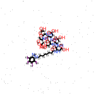 CC(=O)[C@H](CC(=O)O)NC(=O)[C@H](CC(=O)O)NC(=O)[C@H](CC(=O)O)NC(=O)[C@H](CC(=O)O)NC(=O)[C@H](CC(=O)O)NC(=O)[C@@H](CC(=O)O)NC(=O)CCCCCCCn1cnc2c(I)c(I)c(I)c(I)c21